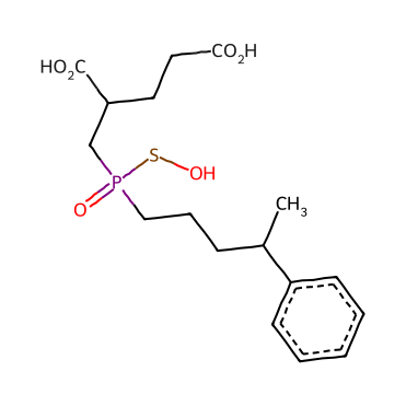 CC(CCCP(=O)(CC(CCC(=O)O)C(=O)O)SO)c1ccccc1